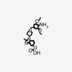 CCOc1cc(CN2CCC(n3c(C)nc4cc(OC(=O)O)ccc43)CC2)cc(OCC)c1N